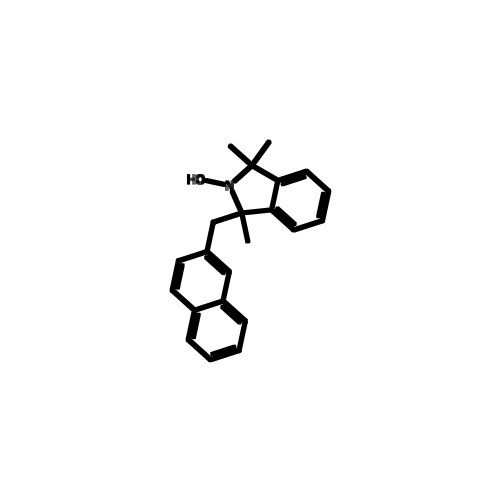 CC1(C)c2ccccc2C(C)(Cc2ccc3ccccc3c2)N1O